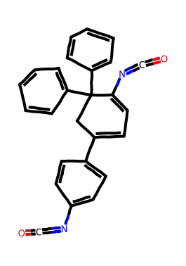 O=C=NC1=CC=C(c2ccc(N=C=O)cc2)CC1(c1ccccc1)c1ccccc1